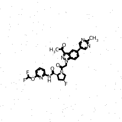 CC(=O)c1nn(CC(=O)N2C[C@H](F)C[C@H]2C(=O)Nc2cccc(OC(F)F)n2)c2ccc(-c3cnc(C)nc3)cc12